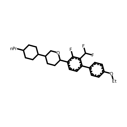 CCCC1CCC(C2CCC(c3ccc(-c4ccc(OCC)cc4)c(C(F)F)c3F)OC2)CC1